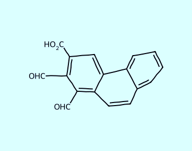 O=Cc1c(C(=O)O)cc2c(ccc3ccccc32)c1C=O